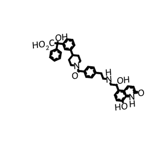 O=C(c1ccc(CCNCC(O)c2ccc(O)c3[nH]c(=O)ccc23)cc1)N1CCC(c2cccc(C(O)(C(=O)O)c3ccccc3)c2)CC1